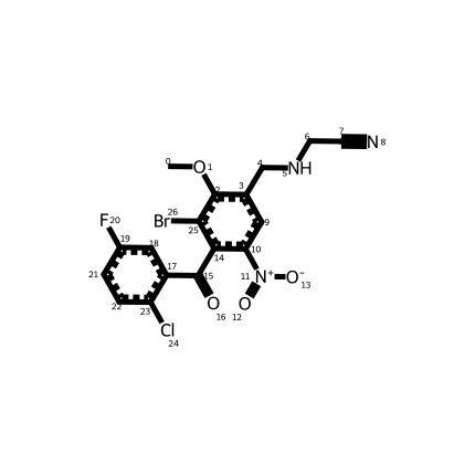 COc1c(CNCC#N)cc([N+](=O)[O-])c(C(=O)c2cc(F)ccc2Cl)c1Br